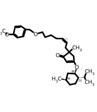 COc1ccc(COCCCC/C=C\CC2(C)CC(O[C@@H]3C[C@H](C)CC[C@H]3C(C)C)=CC2=O)cc1